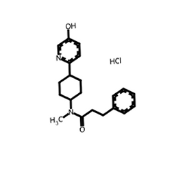 CN(C(=O)CCc1ccccc1)C1CCC(c2ccc(O)cn2)CC1.Cl